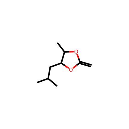 C=C1OC(C)C(CC(C)C)O1